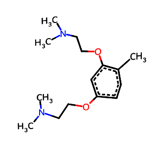 Cc1ccc(OCCN(C)C)cc1OCCN(C)C